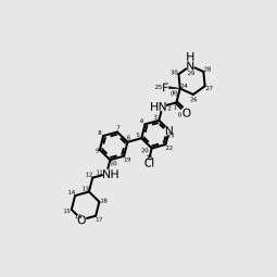 O=C(Nc1cc(-c2cccc(NCC3CCOCC3)c2)c(Cl)cn1)[C@@]1(F)CCCNC1